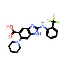 O=C(O)c1cc2nc(Nc3ccccc3C(F)(F)F)[nH]c2cc1N1CCCCC1